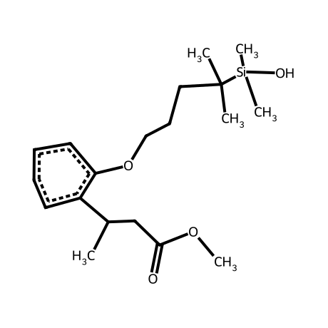 COC(=O)CC(C)c1ccccc1OCCCC(C)(C)[Si](C)(C)O